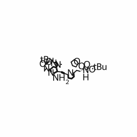 CN(C(=O)OC(C)(C)C)c1nc(N)c(C#Cc2cccc(CC[C@@H](NC(=O)OC(C)(C)C)OC3CCCCO3)n2)c2c1ncn2C